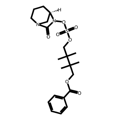 CC(C)(COC(=O)c1ccccc1)C(C)(C)COS(=O)(=O)ON1C(=O)N2CCC[C@@H]1C2